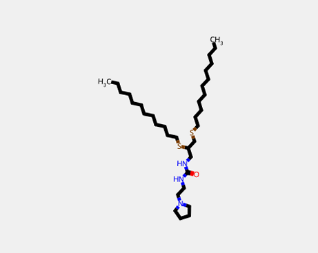 CCCCCCCCCCCCSCC(CNC(=O)NCCN1CCCC1)SCCCCCCCCCCCC